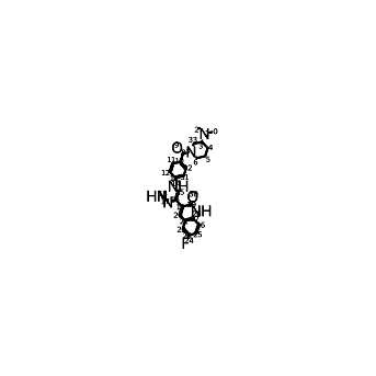 CN(C)[C@@H]1CCCN(C(=O)c2ccc(N/C=C(\N=N)c3cc4cc(F)ccc4[nH]c3=O)cc2)C1